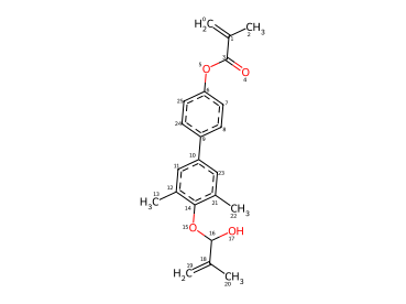 C=C(C)C(=O)Oc1ccc(-c2cc(C)c(OC(O)C(=C)C)c(C)c2)cc1